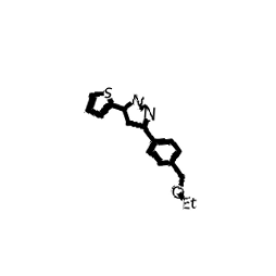 CCOCc1ccc(C2CC(c3cccs3)N=N2)cc1